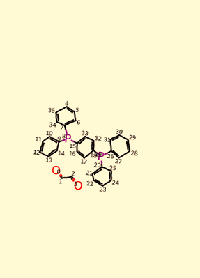 O=CC=O.c1ccc(P(c2ccccc2)c2ccc(P(c3ccccc3)c3ccccc3)cc2)cc1